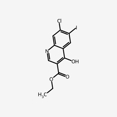 CCOC(=O)c1cnc2cc(Cl)c(I)cc2c1O